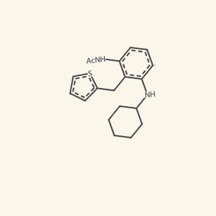 CC(=O)Nc1cc[c]c(NC2CCCCC2)c1Cc1cccs1